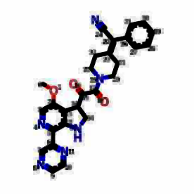 COc1cnc(-c2cnccn2)c2c1C(C(=O)C(=O)N1CCC(=C(C#N)c3ccccc3)CC1)CN2